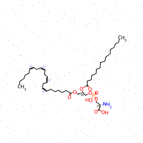 CCCCC/C=C\C/C=C\C/C=C\C/C=C\CCCCCC(=O)OC[C@H](COP(=O)(O)OC[C@H](N)C(=O)O)OC(=O)CCCCCCCCCCCCCCC